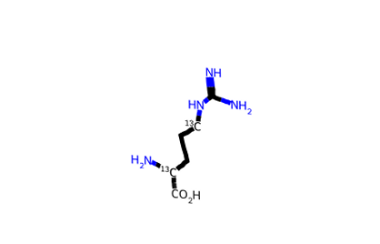 N=C(N)N[13CH2]CC[13CH](N)C(=O)O